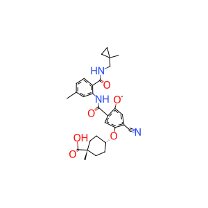 COc1cc(C#N)c(O[C@H]2CC[C@@](C)(C(=O)O)CC2)cc1C(=O)Nc1cc(C)ccc1C(=O)NCC1(C)CC1